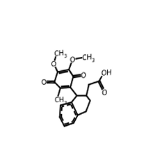 COC1=C(OC)C(=O)C(C2c3ccccc3CCC2CC(=O)O)=C(C)C1=O